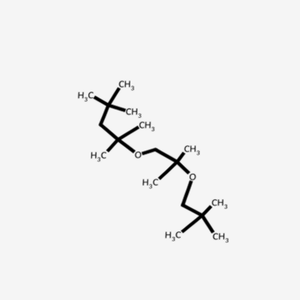 CC(C)(C)COC(C)(C)COC(C)(C)CC(C)(C)C